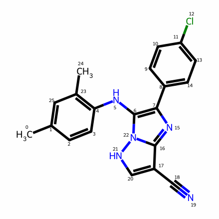 Cc1ccc(Nc2c(-c3ccc(Cl)cc3)nc3c(C#N)c[nH]n23)c(C)c1